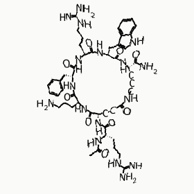 CC(=O)N[C@@H](CCCNC(=N)N)C(=O)N[C@H]1CCC(=O)NCCC[C@@H](C(N)=O)NC(=O)[C@H](Cc2c[nH]c3ccccc23)NC(=O)[C@H](CCCNC(=N)N)NC(=O)[C@@H](Cc2ccccc2)NC(=O)[C@H](CCCN)NC1=O